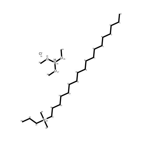 CCCCCCCCCCCCCCCCCC[N+](C)(C)CCC.CO[SiH](OC)OC.[Cl-]